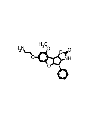 COc1cc(OCCN)cc2c1C1C3OC(=O)NC3[C@@H](c3ccccc3)C1O2